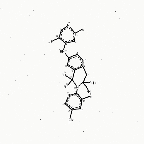 [2H]C1([2H])Cc2ncc(Nc3cc(C)ncc3F)cc2C([2H])([2H])N1c1ncc(C#N)cc1C